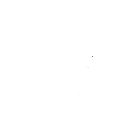 CCC(=O)OC(C)CN[C@@H](Cc1ccc(OC(=O)OCC(C)CC)c(OC(=O)OCC(C)CC)c1)C(=O)O